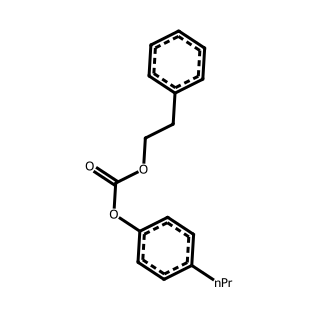 CCCc1ccc(OC(=O)OCCc2ccccc2)cc1